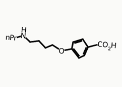 CCCNCCCCOc1ccc(C(=O)O)cc1